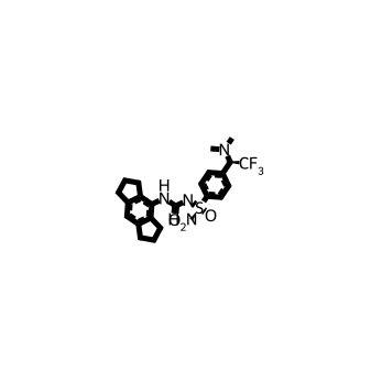 CN(C)[C@H](c1ccc([S@](N)(=O)=NC(=O)Nc2c3c(cc4c2CCC4)CCC3)cc1)C(F)(F)F